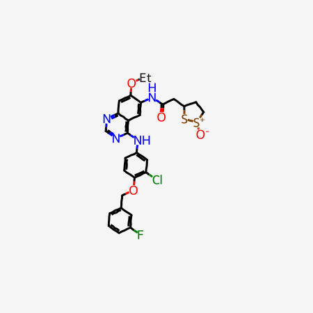 CCOc1cc2ncnc(Nc3ccc(OCc4cccc(F)c4)c(Cl)c3)c2cc1NC(=O)CC1CC[S+]([O-])S1